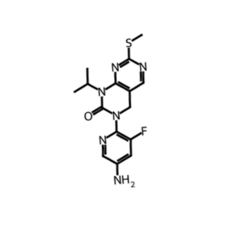 CSc1ncc2c(n1)N(C(C)C)C(=O)N(c1ncc(N)cc1F)C2